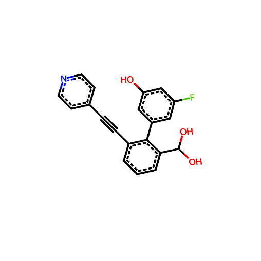 Oc1cc(F)cc(-c2c(C#Cc3ccncc3)cccc2C(O)O)c1